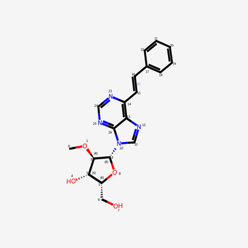 CO[C@@H]1[C@@H](O)[C@@H](CO)O[C@H]1n1cnc2c(/C=C/c3ccccc3)ncnc21